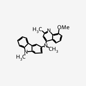 COc1cccc2c(N(C)c3ccc4c(c3)c3ccccc3n4C)cc(C)nc12